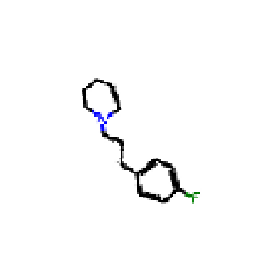 Fc1ccc([CH]CCN2CCCCC2)cc1